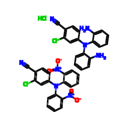 Cl.N#Cc1ccc(N(c2ccccc2N)c2ccccc2N)cc1Cl.N#Cc1ccc(N(c2ccccc2[N+](=O)[O-])c2ccccc2[N+](=O)[O-])cc1Cl